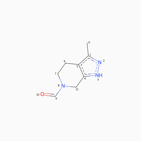 Cc1n[nH]c2c1CCN(C=O)C2